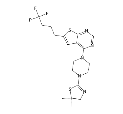 CC1(C)CN=C(N2CCN(c3ncnc4sc(CCCC(F)(F)F)cc34)CC2)S1